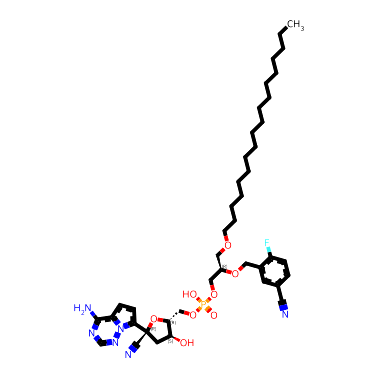 CCCCCCCCCCCCCCCCCCOC[C@H](COP(=O)(O)OC[C@H]1O[C@@](C#N)(c2ccc3c(N)ncnn23)C[C@@H]1O)OCc1cc(C#N)ccc1F